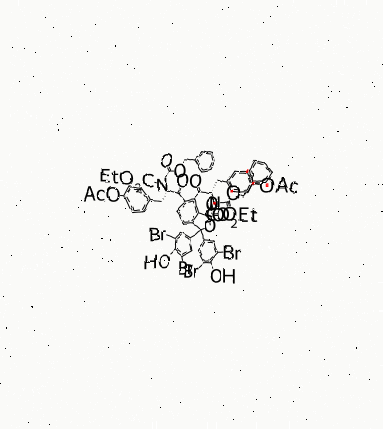 CCOC(=O)N(C(=O)OCc1ccccc1)[C@@H](Cc1ccc(OC(C)=O)cc1)C(=O)c1ccc2c(c1C(=O)[C@H](Cc1ccc(OC(C)=O)cc1)N(C(=O)OCC)C(=O)OCc1ccccc1)S(=O)(=O)OC2(c1cc(Br)c(O)c(Br)c1)c1cc(Br)c(O)c(Br)c1